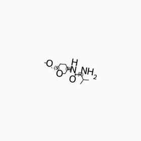 COC[C@@H]1CC[C@@H](NC(=O)[C@H](N)C(C)C)CO1